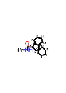 CC(C)NC(=O)C1CC2(CCCCC2)c2ccccc21